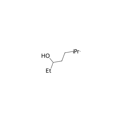 CCC(O)CC[C](C)C